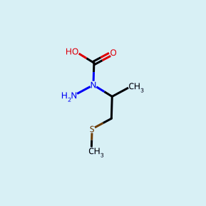 CSCC(C)N(N)C(=O)O